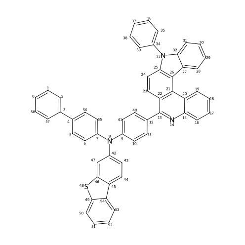 c1ccc(-c2ccc(N(c3ccc(-c4nc5ccccc5c5c4ccc4c5c5ccccc5n4-c4ccccc4)cc3)c3ccc4c(c3)sc3ccccc34)cc2)cc1